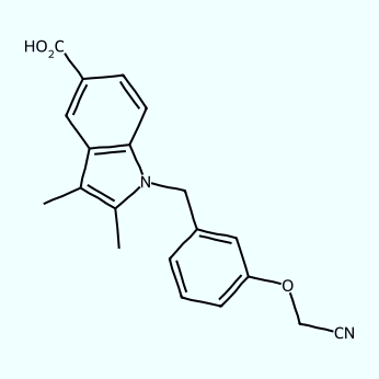 Cc1c(C)n(Cc2cccc(OCC#N)c2)c2ccc(C(=O)O)cc12